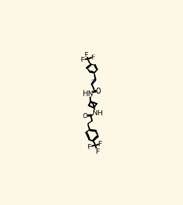 O=C(/C=C/c1ccc(C(F)(F)F)cc1)NC12CC(NC(=O)CCc3ccc(C(F)(F)F)cc3)(C1)C2